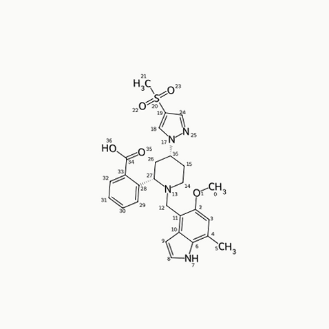 COc1cc(C)c2[nH]ccc2c1CN1CC[C@@H](n2cc(S(C)(=O)=O)cn2)C[C@H]1c1ccccc1C(=O)O